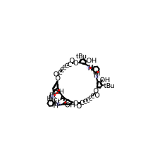 CCC1C2C3C(CC)C3(C)c3cc4cc(c3O)/C=N/[C@H]3CCCC[C@@H]3/N=C/c3cc(cc(c3O)C12C)OC(=O)CCCCCC(=O)Oc1cc(c(O)c(C(C)(C)C)c1)/C=N/[C@H]1CCCC[C@@H]1/N=C/c1cc(cc(C(C)(C)C)c1O)OC(=O)CCCCCC(=O)O4